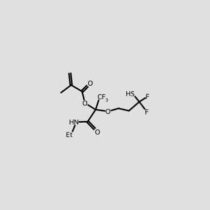 C=C(C)C(=O)OC(OCCC(F)(F)S)(C(=O)NCC)C(F)(F)F